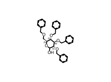 OC1O[C@@H](COCc2ccccc2)[C@H](OCc2ccccc2)[C@@H](OCc2ccccc2)[C@@H]1OCc1ccccc1